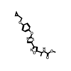 COC(=O)NC(C)c1cc(-c2cnc(Oc3ccc(OCC4CC4)cc3)s2)no1